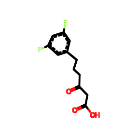 O=C(O)CC(=O)CCCc1cc(F)cc(F)c1